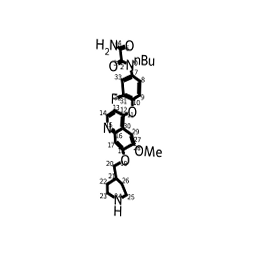 CCCCN(C(=O)C(N)=O)c1ccc(Oc2ccnc3cc(OCC4CCNCC4)c(OC)cc23)c(F)c1